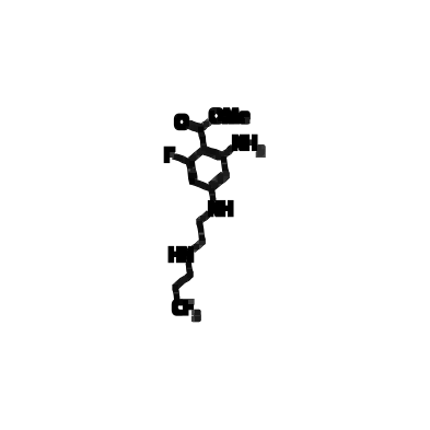 COC(=O)c1c(N)cc(NCCNCCC(F)(F)F)cc1F